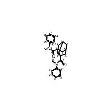 CN(C(=O)C12CC3CC(C1)CC(C(=O)N(C)c1ccccc1)(C3)C2)c1ccccc1